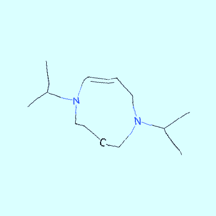 CC(C)N1/C=C\CN(C(C)C)CCC1